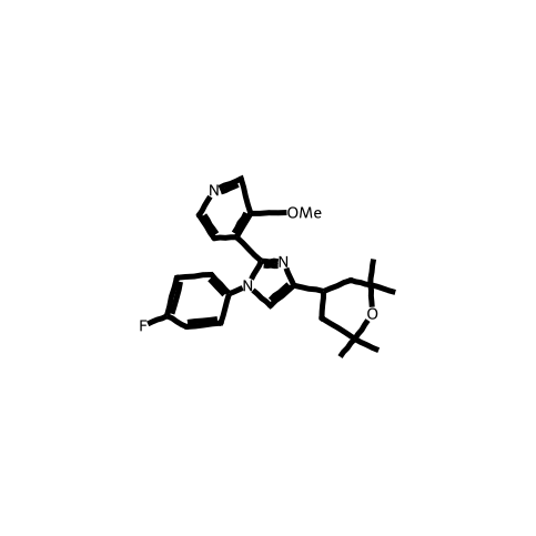 COc1cnccc1-c1nc(C2CC(C)(C)OC(C)(C)C2)cn1-c1ccc(F)cc1